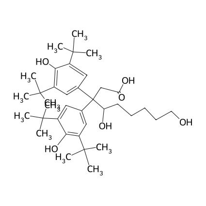 CC(C)(C)c1cc(C(CC(=O)O)(c2cc(C(C)(C)C)c(O)c(C(C)(C)C)c2)C(O)CCCCCO)cc(C(C)(C)C)c1O